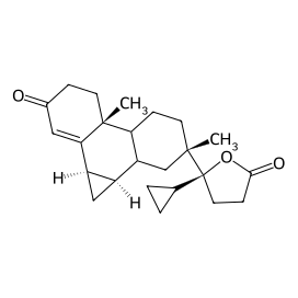 C[C@]1([C@@]2(C3CC3)CCC(=O)O2)CCC2C(C1)[C@H]1C[C@H]1C1=CC(=O)CC[C@@]12C